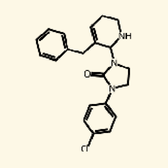 O=C1N(c2ccc(Cl)cc2)CCN1C1NCCC=C1Cc1ccccc1